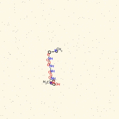 Cc1cccc(C#Cc2cccc(OCCNC(=O)COCC(=O)NCCCNC(=O)COCC(=O)N[C@H]3CC[C@@]4(O)C5Cc6ccc(O)c7c6[C@@]4(CCN5C)[C@H]3O7)c2)n1